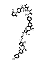 COc1ccc(C2=CC=C3C(C2)Cn2cc(OCCCOc4cn5c(c4OC)C=[N+]([O-])C4=CC=C(c6ccc(NC(=O)C(C)NC(=O)C(NC(=O)c7ccc(N8C(=O)C=CC8=O)cc7)C(C)C)cc6)CC4C5)c(OC)c2C=[N+]3[O-])cc1